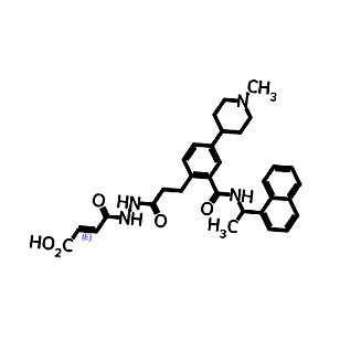 CC(NC(=O)c1cc(C2CCN(C)CC2)ccc1CCC(=O)NNC(=O)/C=C/C(=O)O)c1cccc2ccccc12